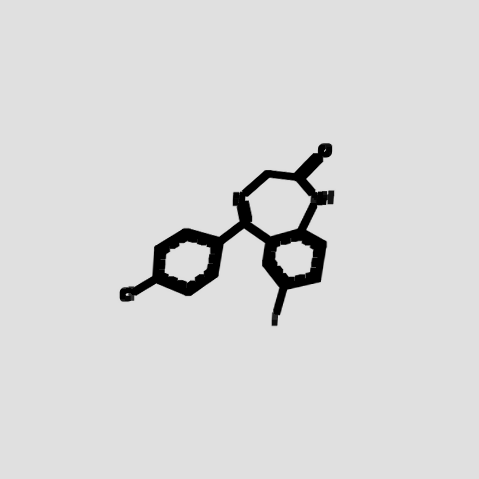 O=C1CN=C(c2ccc(Cl)cc2)c2cc(I)ccc2N1